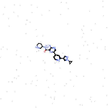 Nc1ncc(-c2ccnc(-c3cnn(C4CC4)c3)c2)nc1C(=O)NC1CCCNC1